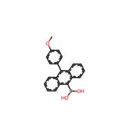 COc1ccc(-c2c3ccccc3c(B(O)O)c3ccccc23)cc1